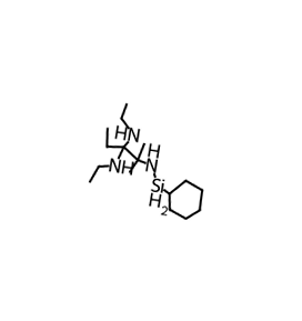 CCNC(CC)(NCC)C(C)(C)N[SiH2]C1CCCCC1